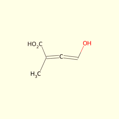 CC(=C=CO)C(=O)O